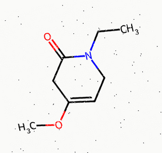 CCN1CC=C(OC)CC1=O